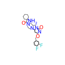 NC1(C(=O)N2CCN3c4cc(OCc5ccc(F)c(F)c5)nc(=O)n4CC3C2)CCCCC1